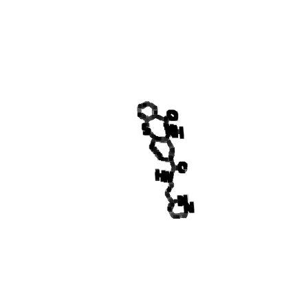 O=C(NCCc1cccnn1)c1ccc2c(c1)NC(=O)c1ccccc1S2